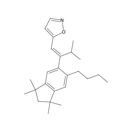 CCCCc1cc2c(cc1/C(=C/c1ccno1)C(C)C)C(C)(C)CC2(C)C